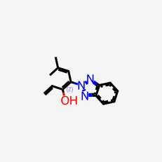 C=C/C(O)=C(\C=C(C)C)n1nc2ccccc2n1